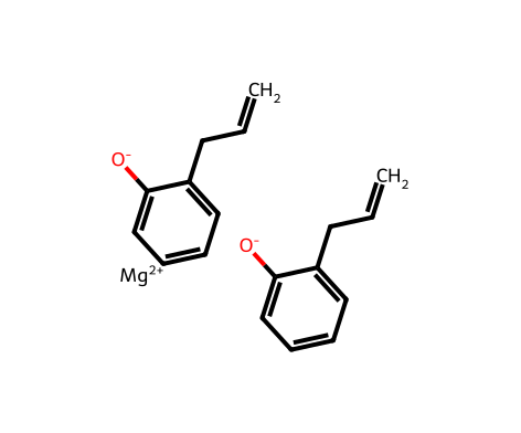 C=CCc1ccccc1[O-].C=CCc1ccccc1[O-].[Mg+2]